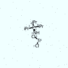 CC(C)P(=N)(C(C)C)C(C)C.[Cl][Ti][Cl]